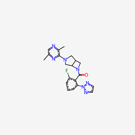 Cc1cnc(C)c(N2CC3CN(C(=O)c4c(F)cccc4-n4nccn4)C3C2)n1